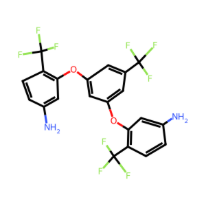 Nc1ccc(C(F)(F)F)c(Oc2cc(Oc3cc(N)ccc3C(F)(F)F)cc(C(F)(F)F)c2)c1